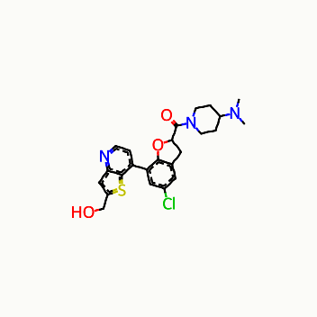 CN(C)C1CCN(C(=O)C2Cc3cc(Cl)cc(-c4ccnc5cc(CO)sc45)c3O2)CC1